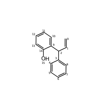 C=CC(c1[c]cccc1)c1ccccc1O